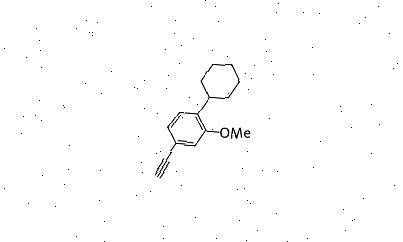 C#Cc1ccc(C2CCCCC2)c(OC)c1